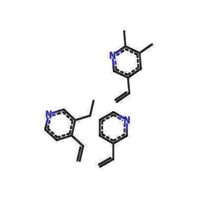 C=Cc1cccnc1.C=Cc1ccncc1CC.C=Cc1cnc(C)c(C)c1